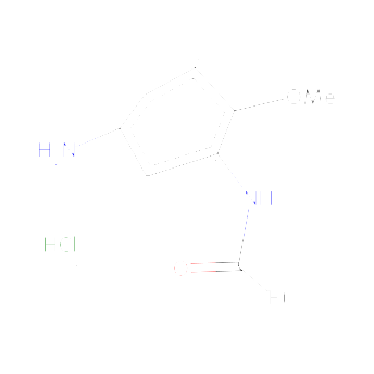 CCC(=O)Nc1cc(N)ccc1OC.Cl